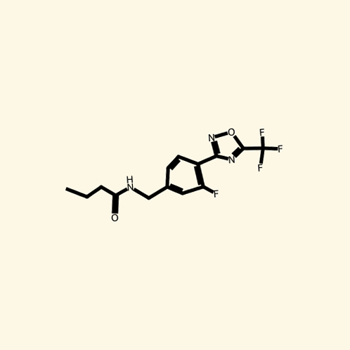 CCCC(=O)NCc1ccc(-c2noc(C(F)(F)F)n2)c(F)c1